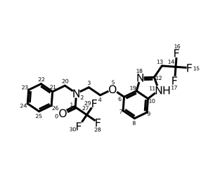 O=C(N(CCOc1cccc2[nH]c(CC(F)(F)F)nc12)Cc1ccccc1)C(F)(F)F